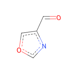 O=Cc1cocn1